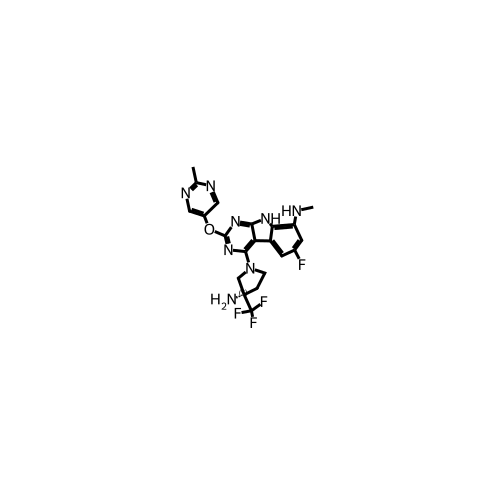 CNc1cc(F)cc2c1[nH]c1nc(Oc3cnc(C)nc3)nc(N3CC[C@@](N)(C(F)(F)F)C3)c12